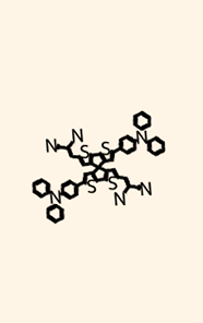 N#CC(C#N)=Cc1cc2c(s1)-c1sc(-c3ccc(N(c4ccccc4)c4ccccc4)cc3)cc1C21c2cc(C=C(C#N)C#N)sc2-c2sc(-c3ccc(N(c4ccccc4)c4ccccc4)cc3)cc21